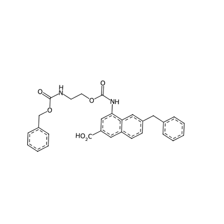 O=C(NCCOC(=O)Nc1cc(C(=O)O)cc2ccc(Cc3ccccc3)cc12)OCc1ccccc1